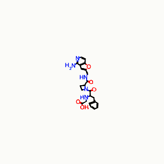 Nc1nccc2oc(CNC(=O)C3CCN3C(=O)C(Cc3ccccc3)NCC(=O)O)cc12